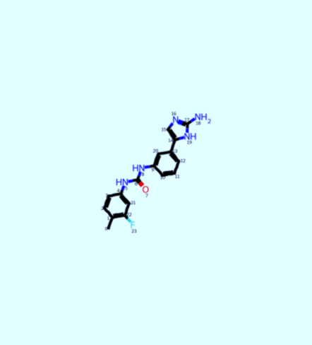 Cc1ccc(NC(=O)Nc2cccc(-c3cnc(N)[nH]3)c2)cc1F